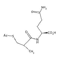 CC(=O)SCC(C)C(=O)N[C@@H](CCC(N)=O)C(=O)O